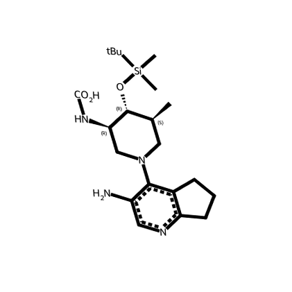 C[C@H]1CN(c2c(N)cnc3c2CCC3)C[C@@H](NC(=O)O)[C@@H]1O[Si](C)(C)C(C)(C)C